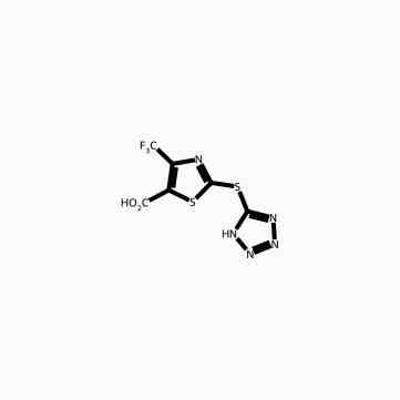 O=C(O)c1sc(Sc2nnn[nH]2)nc1C(F)(F)F